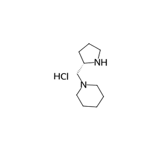 C1CCN(C[C@@H]2CCCN2)CC1.Cl